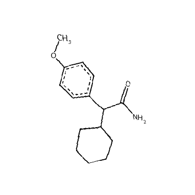 COc1ccc(C(C(N)=O)C2CCCCC2)cc1